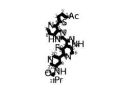 CC(=O)c1ccc(-c2nccc3[nH]c(-c4n[nH]c5cnc(-c6cncc(NC(=O)C(C)C)c6)c(F)c45)nc23)s1